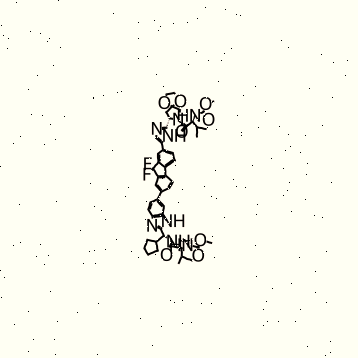 COC(=O)N[C@H](C(=O)N[C@H](c1nc2ccc(-c3ccc4c(c3)C(F)(F)c3cc(-c5cnc([C@@H]6CC7(CN6C(=O)[C@@H](NC(=O)OC)C(C)C)OCCO7)[nH]5)ccc3-4)cc2[nH]1)C1CCCC1)C(C)C